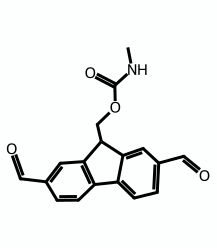 CNC(=O)OCC1c2cc(C=O)ccc2-c2ccc(C=O)cc21